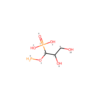 O=P(O)(O)C(OP)C(O)CO